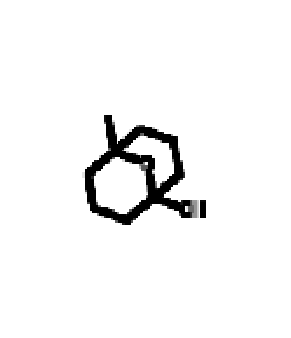 CC12CCCC(O)(CCC1)O2